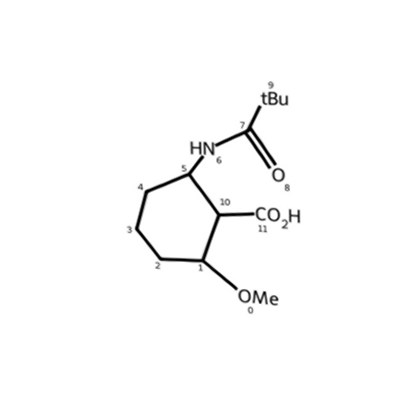 COC1CCCC(NC(=O)C(C)(C)C)C1C(=O)O